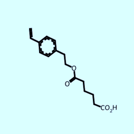 C=Cc1ccc(CCOC(=O)CCCCC(=O)O)cc1